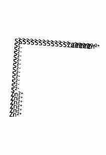 [S-2].[S-2].[S-2].[S-2].[S-2].[S-2].[S-2].[S-2].[S-2].[S-2].[S-2].[S-2].[S-2].[S-2].[S-2].[S-2].[S-2].[S-2].[S-2].[S-2].[S-2].[S-2].[S-2].[S-2].[S-2].[Zn+2].[Zn+2].[Zn+2].[Zn+2].[Zn+2].[Zn+2].[Zn+2].[Zn+2].[Zn+2].[Zn+2].[Zn+2].[Zn+2]